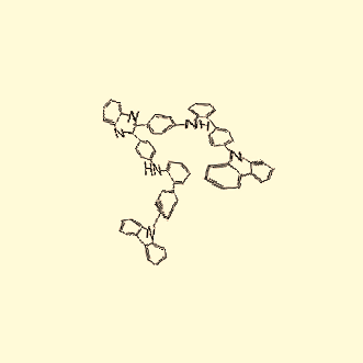 c1ccc(-c2ccc(-n3c4ccccc4c4ccccc43)cc2)c(Nc2ccc(-c3nc4ccccc4nc3-c3ccc(Nc4ccccc4-c4ccc(-n5c6ccccc6c6ccccc65)cc4)cc3)cc2)c1